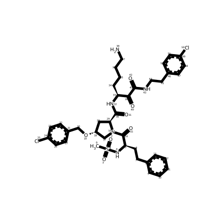 CS(=O)(=O)N[C@H](CCc1ccccc1)C(=O)N1C[C@H](OCc2ccc(Cl)cc2)C[C@H]1C(=O)N[C@@H](CCCCN)C(=O)C(=O)NCCc1ccc(Cl)cc1